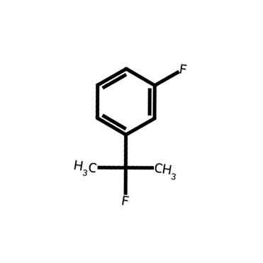 CC(C)(F)c1cccc(F)c1